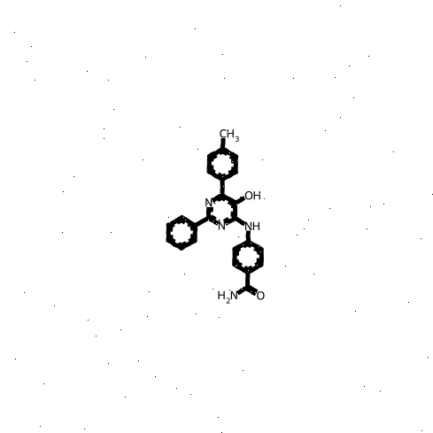 Cc1ccc(-c2nc(-c3ccccc3)nc(Nc3ccc(C(N)=O)cc3)c2O)cc1